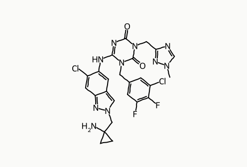 Cn1cnc(Cn2c(=O)nc(Nc3cc4cn(CC5(N)CC5)nc4cc3Cl)n(Cc3cc(F)c(F)c(Cl)c3)c2=O)n1